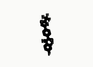 O=C(Nc1ccc(F)cc1F)c1ccc(-c2coc(C(F)(F)F)n2)cc1